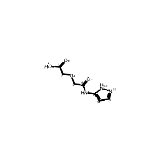 O=C(O)COCC(=O)Nc1ccn[nH]1